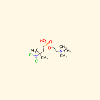 CC(C)(CCP(=O)(O)OCC[N+](C)(C)C)N(Cl)Cl